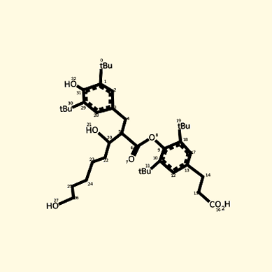 CC(C)(C)c1cc(CC(C(=O)Oc2c(C(C)(C)C)cc(CCC(=O)O)cc2C(C)(C)C)C(O)CCCCCO)cc(C(C)(C)C)c1O